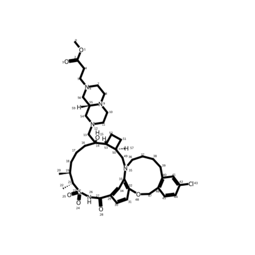 COC(=O)CCN1CCN2CCN(C[C@@]3(O)CCC[C@H](C)[C@@H](C)S(=O)(=O)NC(=O)c4ccc5c(c4)N(CCCCc4cc(Cl)ccc4CO5)C[C@@H]4CC[C@H]43)C[C@@H]2C1